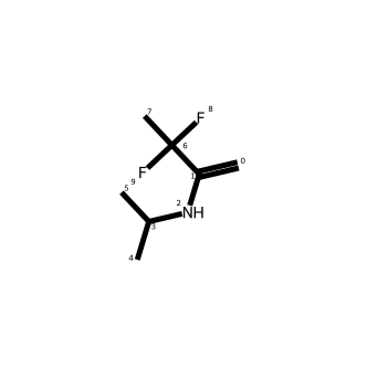 C=C(NC(C)C)C(C)(F)F